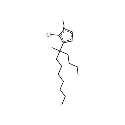 CCCCCCCC(C)(CCCC)c1ccn(C)c1Cl